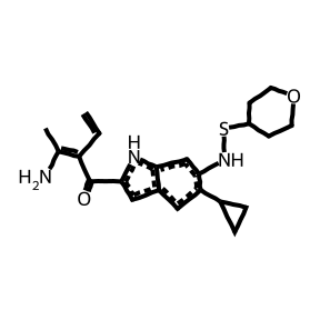 C=C/C(C(=O)c1cc2cc(C3CC3)c(NSC3CCOCC3)cc2[nH]1)=C(\C)N